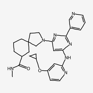 CNC(=O)C1CCCC2(CCN(c3cc(Nc4cc(OC5CC5)ccn4)nc(-c4cccnc4)n3)C2)C1